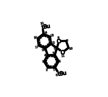 CC(C)(C)c1ccc2c(c1)C1(OCCO1)c1cc(C(C)(C)C)ccc1-2